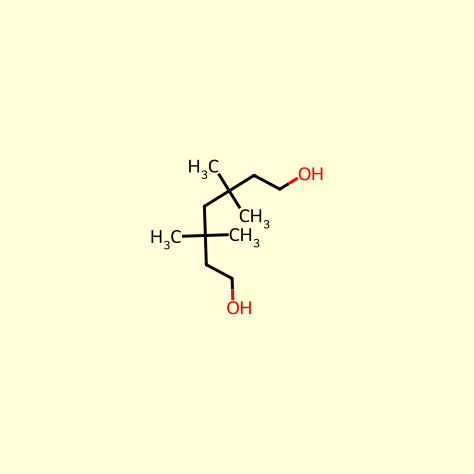 CC(C)(CCO)CC(C)(C)CCO